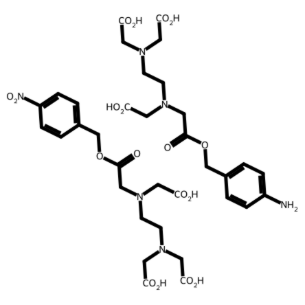 Nc1ccc(COC(=O)CN(CCN(CC(=O)O)CC(=O)O)CC(=O)O)cc1.O=C(O)CN(CCN(CC(=O)O)CC(=O)OCc1ccc([N+](=O)[O-])cc1)CC(=O)O